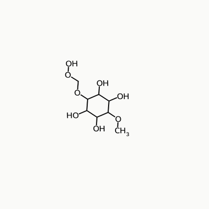 COC1C(O)C(O)C(OCOO)C(O)C1O